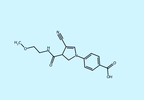 COCCNC(=O)C1CN(c2ccc(C(=O)O)cc2)C=C1C#N